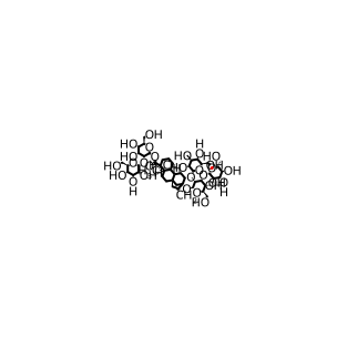 C=C1C[C@@]23CC[C@H]4[C@@](C)(CCC[C@@]4(C)C(=O)OC4O[C@H](CO)[C@@H](O)[C@H](O)[C@H]4O[C@@H]4O[C@H](CO)[C@@H](O)[C@H](O)[C@H]4O)[C@@H]2CC[C@]1(O[C@@H]1O[C@H](CO)[C@@H](O)[C@H](O[C@@H]2O[C@H](CO)[C@@H](O)[C@H](O)[C@H]2O)[C@H]1O[C@@H]1O[C@H](CO)[C@@H](O)[C@H](O)[C@H]1O)C3